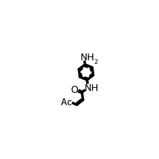 CC(=O)/C=C\C(=O)Nc1ccc(N)cc1